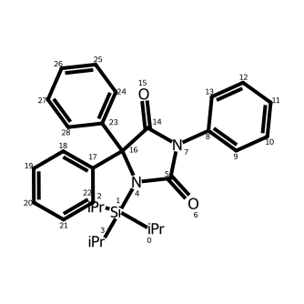 CC(C)[Si](C(C)C)(C(C)C)N1C(=O)N(c2ccccc2)C(=O)C1(c1ccccc1)c1ccccc1